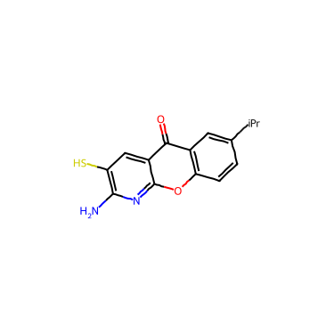 CC(C)c1ccc2oc3nc(N)c(S)cc3c(=O)c2c1